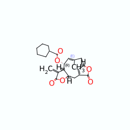 C=C1C(=O)O[C@H]2CC3=C[C@@H](C/C(C)=C/[C@@H](OC(=O)C4CCCCC4)[C@H]12)OC3=O